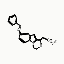 CCOC(=O)CC1OCCn2c1cc1cc(OCc3ccccc3)ccc12